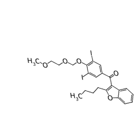 CCCCc1oc2ccccc2c1C(=O)c1cc(I)c(OCOCCOC)c(I)c1